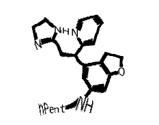 CCCCCNc1cc2c(c(C(CC3=NCCN3)c3ccccn3)c1)CCO2